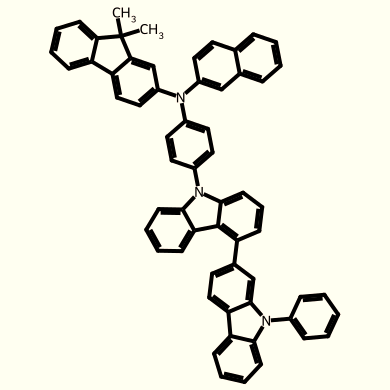 CC1(C)c2ccccc2-c2ccc(N(c3ccc(-n4c5ccccc5c5c(-c6ccc7c8ccccc8n(-c8ccccc8)c7c6)cccc54)cc3)c3ccc4ccccc4c3)cc21